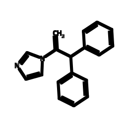 C=C(C(c1ccccc1)c1ccccc1)n1ccnc1